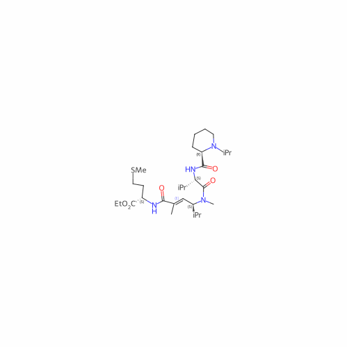 CCOC(=O)[C@H](CCSC)NC(=O)/C(C)=C/[C@H](C(C)C)N(C)C(=O)[C@@H](NC(=O)[C@H]1CCCCN1C(C)C)C(C)C